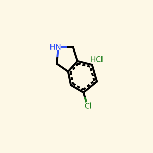 Cl.Clc1ccc2c(c1)CNC2